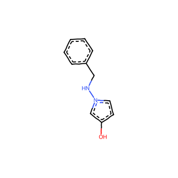 Oc1ccn(NCc2ccccc2)c1